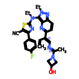 C=C/C(=C\N=C(/C)N1CC(O)C1)c1ccc2nn(CC)c(N(CC)c3nc(-c4ccc(F)cc4)c(C#N)s3)c2n1